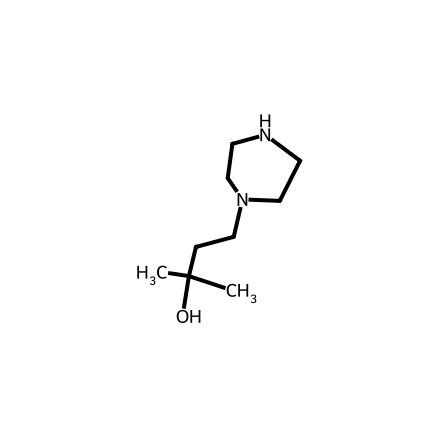 CC(C)(O)CCN1CCNCC1